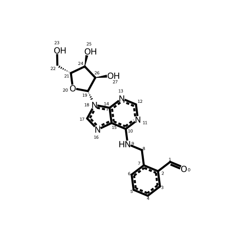 O=Cc1ccccc1CNc1ncnc2c1ncn2[C@@H]1O[C@H](CO)[C@@H](O)[C@H]1O